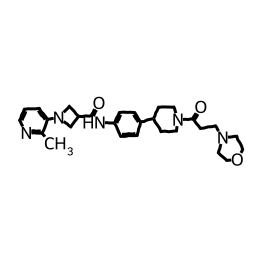 Cc1ncccc1N1CC(C(=O)Nc2ccc(C3CCN(C(=O)CCN4CCOCC4)CC3)cc2)C1